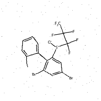 Cc1ccccc1-c1c(Br)[c]c(Br)cc1[S+]([O-])C(F)(F)C(F)(F)C(F)(F)F